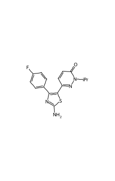 CC(C)n1nc(-c2sc(N)nc2-c2ccc(F)cc2)ccc1=O